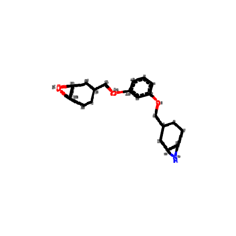 c1cc(OCC2CCC3NC3C2)cc(OCC2CCC3OC3C2)c1